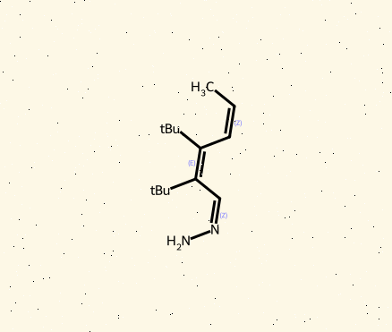 C\C=C/C(=C(\C=N/N)C(C)(C)C)C(C)(C)C